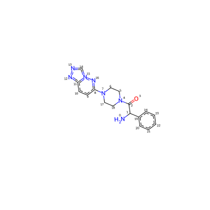 NC(C(=O)N1CCN(c2ccc3nncn3n2)CC1)c1ccccc1